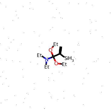 C=C([SiH3])C(OCC)(OCC)N(CC)CC